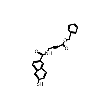 O=C(C#CCNC(=O)c1ccc2cc(S)ccc2c1)OCc1ccccc1